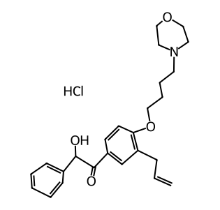 C=CCc1cc(C(=O)C(O)c2ccccc2)ccc1OCCCCN1CCOCC1.Cl